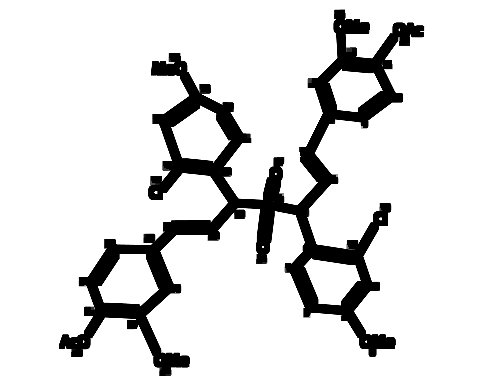 COc1ccc(C(C=Cc2ccc(OC(C)=O)c(OC)c2)S(=O)(=O)C(C=Cc2ccc(OC(C)=O)c(OC)c2)c2ccc(OC)cc2Cl)c(Cl)c1